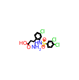 NC[C@H](CC(=O)O)c1ccc(Cl)cc1NS(=O)(=O)c1ccc(Cl)c(Cl)c1